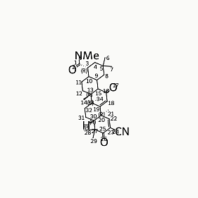 CNC(=O)[C@@H]1CC(C)(C)CC2C1CC[C@]1(C)C2C(=O)C=C2[C@@]3(C)C=C(C#N)C(=O)C(C)(C)[C@@H]3CC[C@]21C